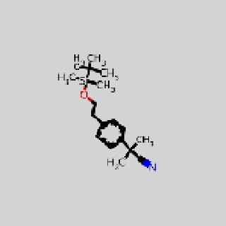 CC(C)(C#N)c1ccc(CCO[Si](C)(C)C(C)(C)C)cc1